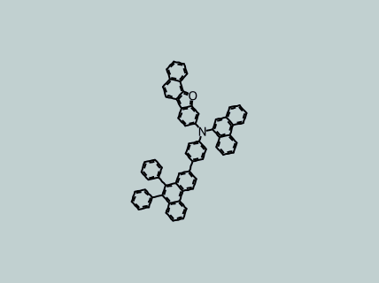 c1ccc(-c2c(-c3ccccc3)c3cc(-c4ccc(N(c5ccc6c(c5)oc5c7ccccc7ccc65)c5cc6ccccc6c6ccccc56)cc4)ccc3c3ccccc23)cc1